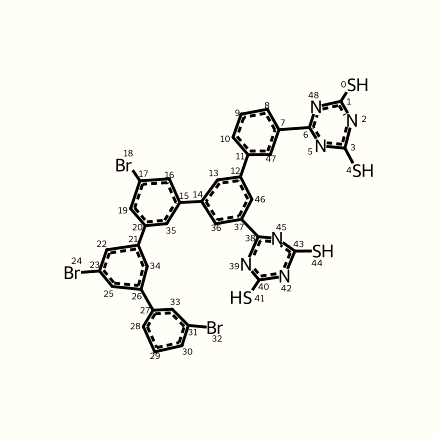 Sc1nc(S)nc(-c2cccc(-c3cc(-c4cc(Br)cc(-c5cc(Br)cc(-c6cccc(Br)c6)c5)c4)cc(-c4nc(S)nc(S)n4)c3)c2)n1